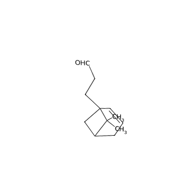 CC1(C)C2CC=CC1(CCC=O)C2